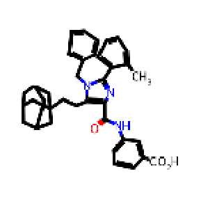 Cc1ccccc1-c1nc(C(=O)Nc2cccc(C(=O)O)c2)c(CCC23CC4CC(CC(C4)C2)C3)n1Cc1ccccc1